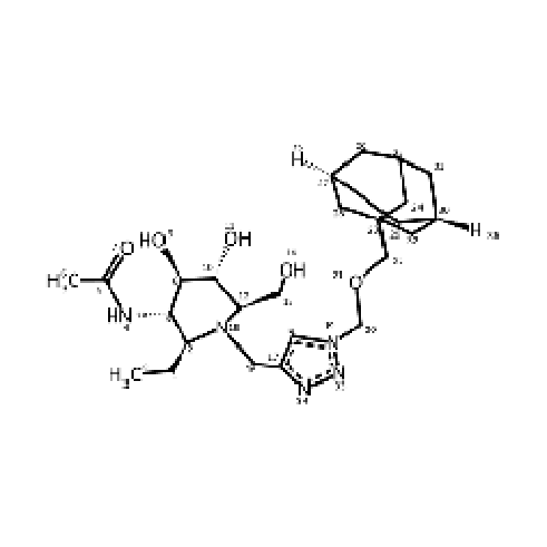 CC[C@H]1[C@H](NC(C)=O)[C@@H](O)[C@H](O)[C@@H](CO)N1Cc1cn(COCC23CC4C[C@H](C2)C[C@H](C4)C3)nn1